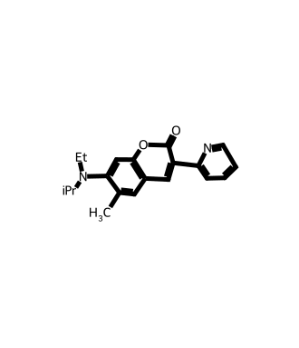 CCN(c1cc2oc(=O)c(-c3ccccn3)cc2cc1C)C(C)C